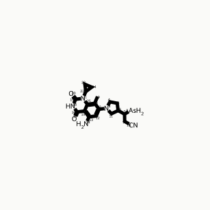 Cc1c(N2CCC(C([AsH2])CC#N)C2)cc(N)c2c(=O)[nH]c(=O)n(C3CC3)c12